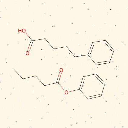 CCCCC(=O)Oc1ccccc1.O=C(O)CCCCc1ccccc1